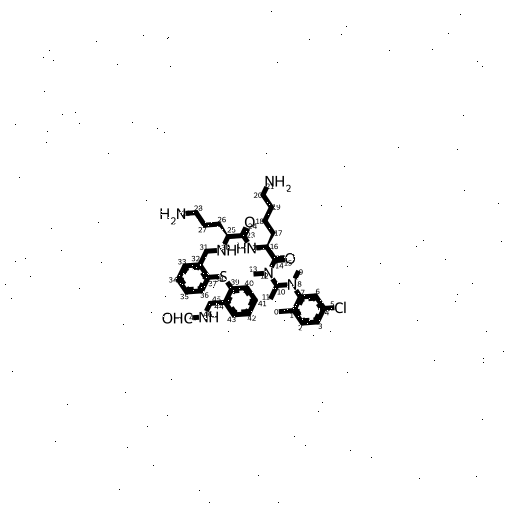 Cc1ccc(Cl)cc1N(C)C(C)N(C)C(=O)[C@H](CCCCN)NC(=O)[C@H](CCCN)NCc1ccccc1Sc1ccccc1CNC=O